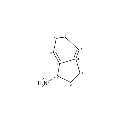 N[C@H]1CCC2=CCCC=C21